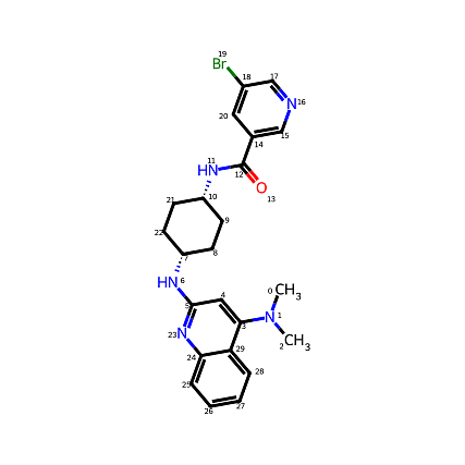 CN(C)c1cc(N[C@H]2CC[C@@H](NC(=O)c3cncc(Br)c3)CC2)nc2ccccc12